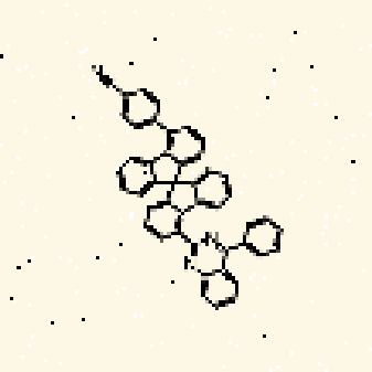 N#Cc1ccc(-c2cccc3c2-c2ccccc2C32c3ccccc3-c3c(-c4nc(-c5ccccc5)c5ccccc5n4)cccc32)cc1